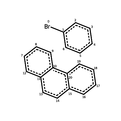 Brc1ccccc1.c1ccc2c(c1)ccc1ccccc12